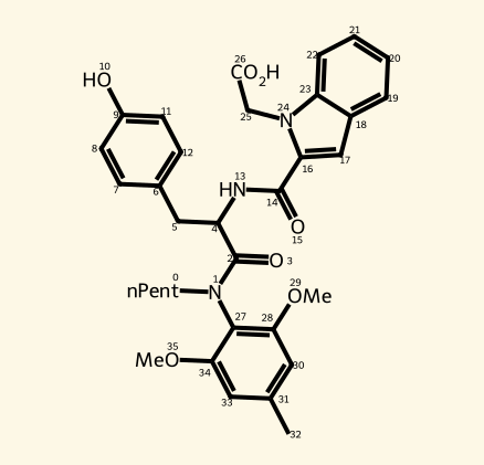 CCCCCN(C(=O)C(Cc1ccc(O)cc1)NC(=O)c1cc2ccccc2n1CC(=O)O)c1c(OC)cc(C)cc1OC